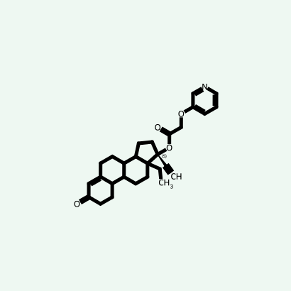 C#C[C@]1(OC(=O)COc2cccnc2)CCC2C3CCC4=CC(=O)CCC4C3CCC21CC